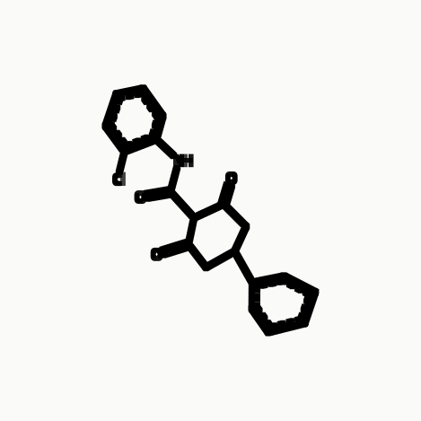 O=C1CC(c2ccccc2)CC(=O)C1C(=O)Nc1ccccc1Cl